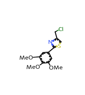 COc1cc(-c2nc(CCl)cs2)cc(OC)c1OC